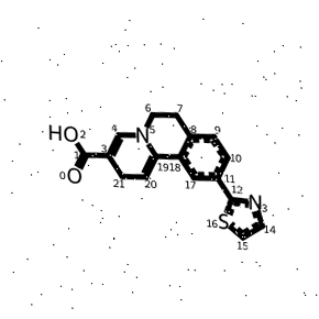 O=C(O)C1=CN2CCc3ccc(-c4nccs4)cc3C2=CC1